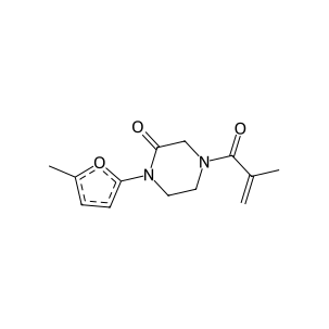 C=C(C)C(=O)N1CCN(c2ccc(C)o2)C(=O)C1